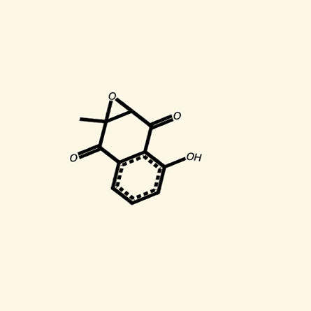 CC12OC1C(=O)c1c(O)cccc1C2=O